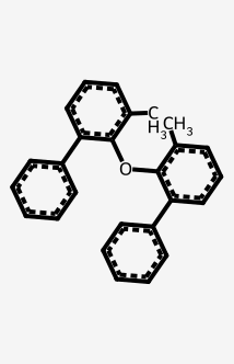 Cc1cccc(-c2ccccc2)c1Oc1c(C)cccc1-c1ccccc1